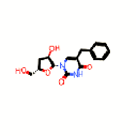 O=c1[nH]c(=O)n([C@@H]2O[C@H](CO)C[C@H]2O)cc1Cc1ccccc1